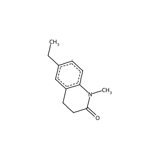 CCc1[c]cc2c(c1)CCC(=O)N2C